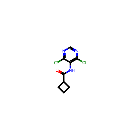 O=C(Nc1c(Cl)ncnc1Cl)C1CCC1